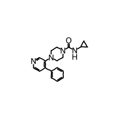 O=C(NC1CC1)N1CCN(c2cnccc2-c2ccccc2)CC1